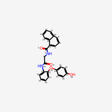 O=C(CNC(=O)c1cccc2ccccc12)Nc1ccccc1Oc1ccc(O)cc1